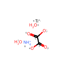 O.O.O=C([O-])C(=O)[O-].[NH4+].[Ti+]